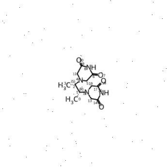 C[C@H]([C@H](C)N1CC(=O)NC(=O)C1)N1CC(=O)NC(=O)C1